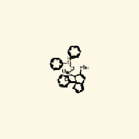 CC(C)(C)C1=CC2=CC=CC2(c2ccccc2)C1S(=O)(=O)O[SiH](c1ccccc1)c1ccccc1